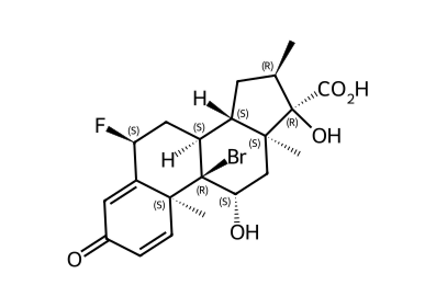 C[C@@H]1C[C@H]2[C@@H]3C[C@H](F)C4=CC(=O)C=C[C@]4(C)[C@@]3(Br)[C@@H](O)C[C@]2(C)[C@@]1(O)C(=O)O